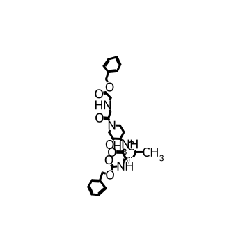 CC(C)C[C@H](NC(=O)OCc1ccccc1)C(=O)NC1CCN(C(=O)CNCC(=O)OCc2ccccc2)CC1=O